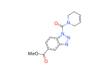 COC(=O)c1ccc2c(c1)nnn2C(=O)N1CC=CCC1